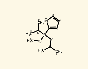 CO[Si](CC(C)C)(c1ccc[nH]1)C(C)C